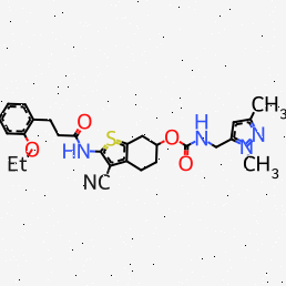 CCOc1ccccc1CCC(=O)Nc1sc2c(c1C#N)CCC(OC(=O)NCc1cc(C)nn1C)C2